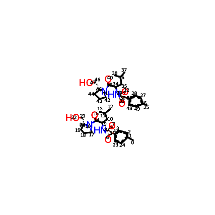 Cc1ccc(S(=O)(=O)NC(CC(C)C)C(=O)N2CCC[C@@H]2CO)cc1.Cc1ccc(S(=O)(=O)NC(CC(C)C)C(=O)N2CCC[C@@H]2CO)cc1